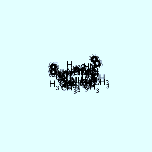 CN[C@@H](C)C(=O)N[C@H](C(=O)N1C[C@@H](NCc2ccc(C(=O)N[C@H]3C[C@@H](C(=O)N[C@@H]4CCCc5ccccc54)N(C(=O)[C@@H](NC(=O)[C@H](C)NC)C(C)(C)C)C3)s2)C[C@H]1C(=O)N[C@@H]1CCCc2ccccc21)C(C)(C)C